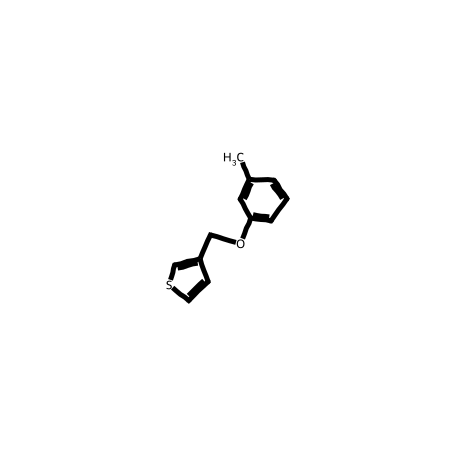 Cc1cccc(OCc2ccsc2)c1